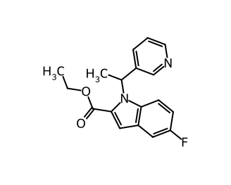 CCOC(=O)c1cc2cc(F)ccc2n1C(C)c1cccnc1